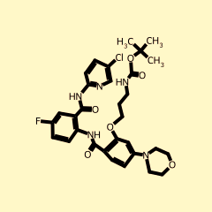 CC(C)(C)OC(=O)NCCCOc1cc(N2CCOCC2)ccc1C(=O)Nc1ccc(F)cc1C(=O)Nc1ccc(Cl)cn1